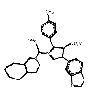 COc1ccc(C2C(C(=O)O)C(c3ccc4c(c3)OCO4)CN2C(C=O)N2CCC3CCCCC3C2)cc1